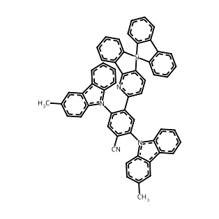 Cc1ccc2c(c1)c1ccccc1n2-c1cc(-c2ccc3c(n2)-c2ccccc2[Si]32c3ccccc3-c3ccccc32)c(-n2c3ccccc3c3cc(C)ccc32)cc1C#N